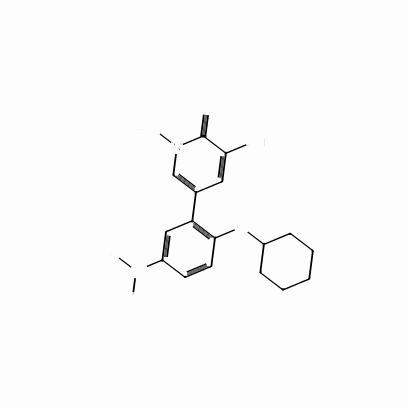 Cc1cc(-c2cc([S+](C)[O-])ccc2OC2CCCCC2)cn(C)c1=O